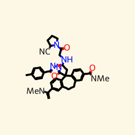 C=C(NC)c1ccc2c(c1)CCc1cc(C(=O)NC)ccc1C2(C[C@H](C)NCC(=O)N1CCCC1C#N)c1nnc(-c2ccc(C)cc2)o1